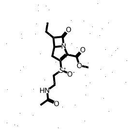 CCC1C(=O)N2C(C(=O)OC)=C([S+]([O-])CCNC(C)=O)CC12